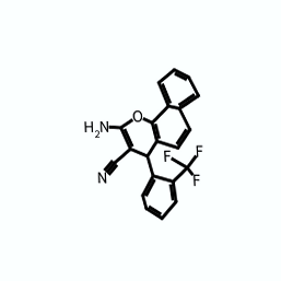 N#CC1=C(N)Oc2c(ccc3ccccc23)C1c1ccccc1C(F)(F)F